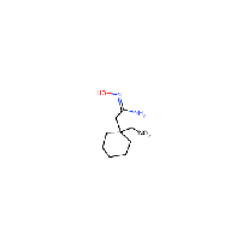 N/C(CC1(C[N+](=O)[O-])CCCCC1)=N/O